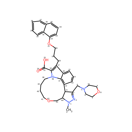 CN1N=C(CN2CCOCC2)C2c3cccc4c(CCCOc5cccc6ccccc56)c(C(=O)O)n(c34)CCCCOCC21